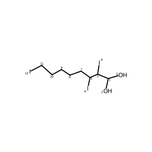 OC(O)C(I)C(I)CCCCCI